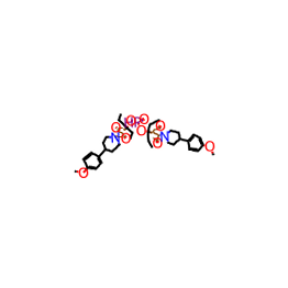 CCC(CC)(O[PH](=O)OC(CC)(CC)S(=O)(=O)N1CCC(c2ccc(OC)cc2)CC1)S(=O)(=O)N1CCC(c2ccc(OC)cc2)CC1